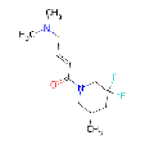 CC1CN(C(=O)/C=C/CN(C)C)CC(F)(F)C1